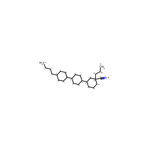 CCCCC1CCC(C2CCC(C3CCCC(C#N)(CCC)C3)CC2)CC1